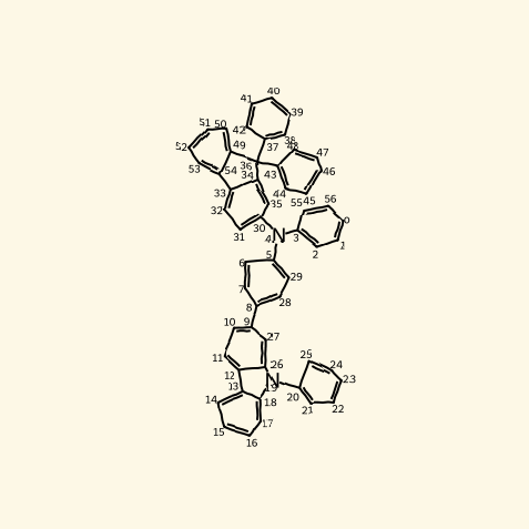 c1ccc(N(c2ccc(-c3ccc4c5ccccc5n(-c5ccccc5)c4c3)cc2)c2ccc3c(c2)C(c2ccccc2)(c2ccccc2)c2ccccc2-3)cc1